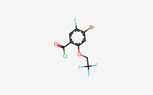 O=C(Cl)c1cc(F)c(Br)cc1OCC(F)(F)F